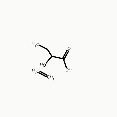 C=C.[CH2]CC(O)C(=O)O